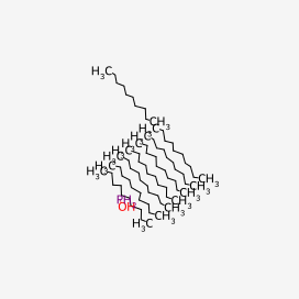 CCCCCCCCCC.CCCCCCCCCC.CCCCCCCCCC.CCCCCCCCCC.CCCCCCCCCC.CCCCCCCCCC.CCCCCCCCCC.CCCCCCCCCC.OP